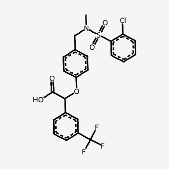 CN(Cc1ccc(OC(C(=O)O)c2cccc(C(F)(F)F)c2)cc1)S(=O)(=O)c1ccccc1Cl